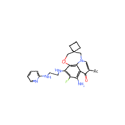 CC(=O)c1cn2c3c(c(NCCNc4ccccn4)c(F)c(N)c3c1=O)OCC1(CCC1)C2